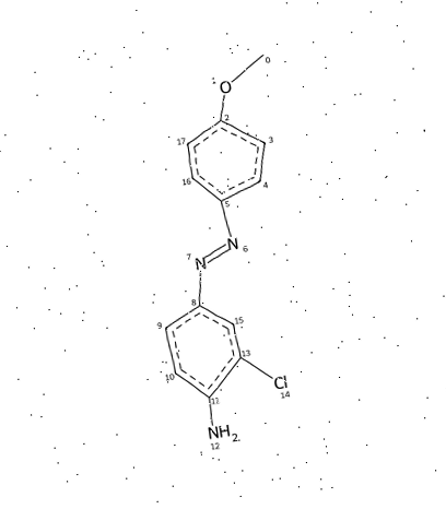 COc1ccc(N=Nc2ccc(N)c(Cl)c2)cc1